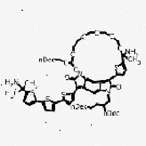 CCCCCCCCCCCCC1CCCCCCCCCCC(C)(N)c2ccc(s2)C2=c3cc4c(cc3N(CC(CCCCCCCCCC)CCCCCCCCCCCC)C2=O)=C(c2ccc(-c3ccc(-c5ccc(C(C)(C)N)s5)s3)s2)C(=O)N4C1